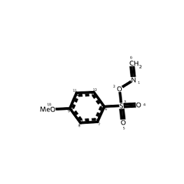 C=NOS(=O)(=O)c1ccc(OC)cc1